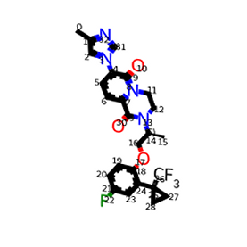 Cc1cn(-c2ccc3n(c2=O)CCN([C@@H](C)COc2ccc(F)cc2C2(C(F)(F)F)CC2)C3=O)cn1